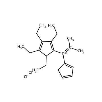 CCC1=C(CC)C(CC)[C]([Ti+2]([C]2=CC=CC2)=[Si](C)C)=C1CC.[Cl-].[Cl-]